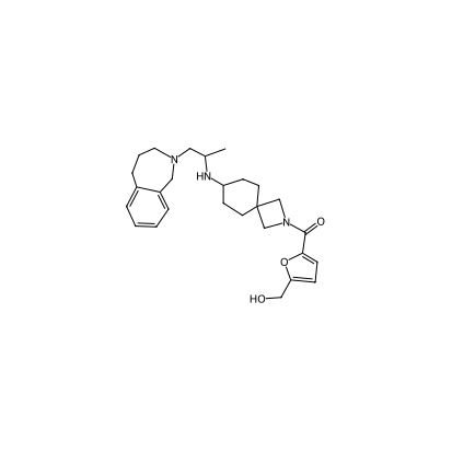 CC(CN1CCCc2ccccc2C1)NC1CCC2(CC1)CN(C(=O)c1ccc(CO)o1)C2